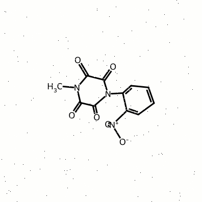 CN1C(=O)C(=O)N(c2ccccc2[N+](=O)[O-])C(=O)C1=O